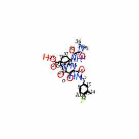 COc1c(C(=O)NCc2ccc(F)c(C)c2)nc2n(c1=O)CC1(C(=O)O)CCC2(NC(=O)C(=O)N(C)C)CC1